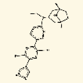 CCN(c1ccc(-c2cc(F)c(-c3cn[nH]c3)cc2O)nn1)C1C[C@]2(C)CC[C@](C)(C1)N2